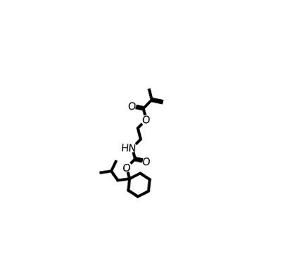 C=C(C)C(=O)OCCNC(=O)OC1(CC(C)C)CCCCC1